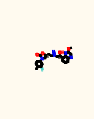 COc1cnc2cccc([C@@H](O)CNCC[C@@H]3CN(c4ccc(C)c(F)c4)C(=O)O3)c2n1